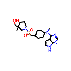 CN(c1ncnc2[nH]ccc12)C1CCC(CS(=O)(=O)N2CCCC(C)(CO)C2)CC1